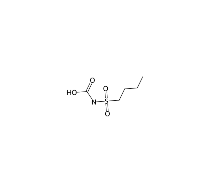 CCCCS(=O)(=O)[N]C(=O)O